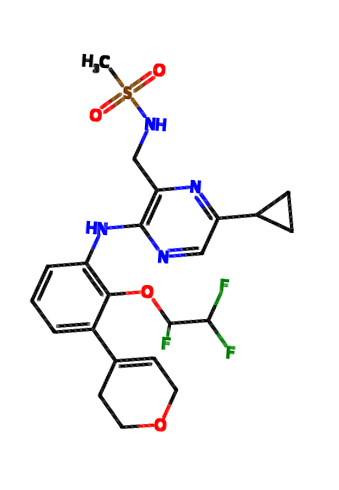 CS(=O)(=O)NCc1nc(C2CC2)cnc1Nc1cccc(C2=CCOCC2)c1OC(F)C(F)F